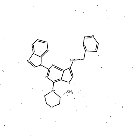 C[C@@H]1COCCN1c1nc(-n2cnc3ccccc32)nc2c(NCc3ccncc3)csc12